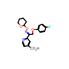 O=C(O)c1ccnc(/C(COc2ccc(F)cc2)=N/OC2CCCCO2)c1